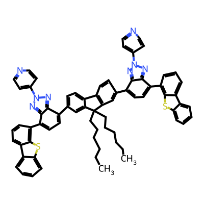 CCCCCCC1(CCCCCC)c2cc(-c3ccc(-c4cccc5c4sc4ccccc45)c4nn(-c5ccncc5)nc34)ccc2-c2ccc(-c3ccc(-c4cccc5c4sc4ccccc45)c4nn(-c5ccncc5)nc34)cc21